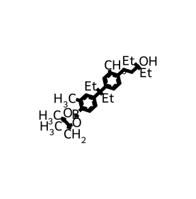 C=C1OB(c2ccc(C(CC)(CC)c3ccc(CCC(O)(CC)CC)c(C)c3)cc2C)OC1(C)C